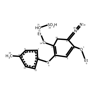 CCOC1=CC(Sc2ccc(C)cc2)=C(OCC)CC1=[N+]=[N-].O=S(=O)(O)O